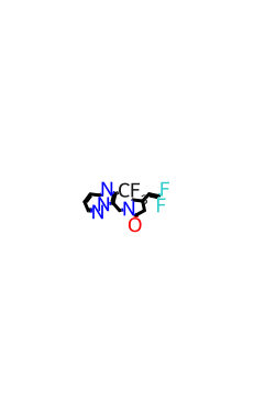 O=C1CC(C=C(F)F)CN1Cc1c(C(F)(F)F)nc2cccnn12